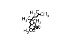 CCC(CC(C)(C)CCC(C)C)O[N+](=O)[O-]